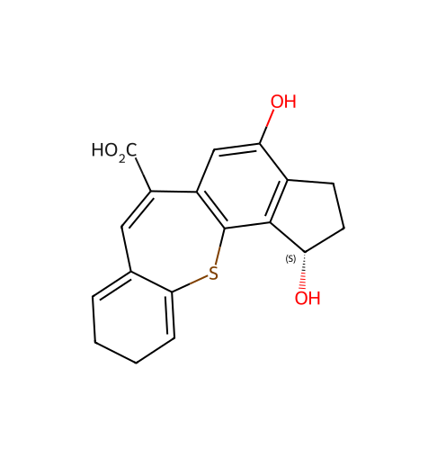 O=C(O)C1=CC2=CCCC=C2Sc2c1cc(O)c1c2[C@@H](O)CC1